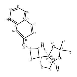 CC1(C)O[C@H]2CC[C@]3(C[C@@H](Oc4ccc5cccnc5c4)C3)[C@H]2O1